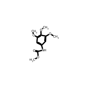 [CH2]OC(=O)Nc1cc(OC)c(OC)c(OC)c1